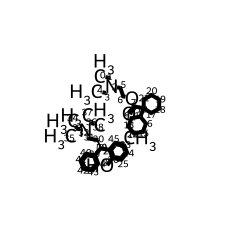 CCN(CC)CCOC(=O)C1(C2CCCCC2)CCCCC1.Cc1ccc(O)c([C@H](CCN(C(C)C)C(C)C)c2ccccc2)c1